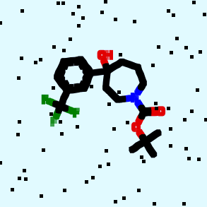 CC(C)(C)OC(=O)N1CCCC(O)(c2cccc(C(F)(F)F)c2)CC1